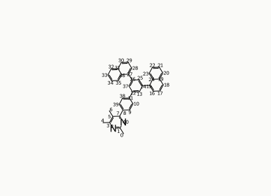 Cc1nc(C)c(C)c(-c2ccc(-c3cc(-c4cccc5ccccc45)cc(-c4cccc5ccccc45)c3)cc2)n1